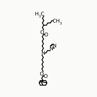 CCCCCC(CCCCC)CCOC(=O)CCCCCCCN(CCCCCCCCOC(=O)CC12CC3CC(CC(C3)C1)C2)CCCn1ccnc1